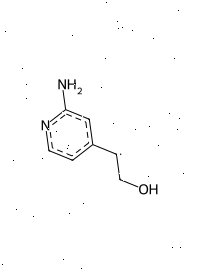 Nc1cc([CH]CO)ccn1